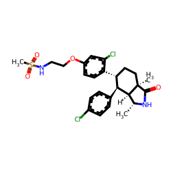 C[C@H]1NC(=O)[C@]2(C)CC[C@@H](c3ccc(OCCNS(C)(=O)=O)cc3Cl)[C@H](c3ccc(Cl)cc3)[C@H]12